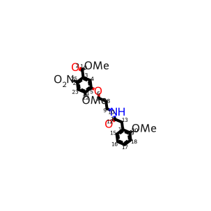 COC(=O)c1cc(OCCCNC(=O)Cc2ccccc2OC)c(OC)cc1[N+](=O)[O-]